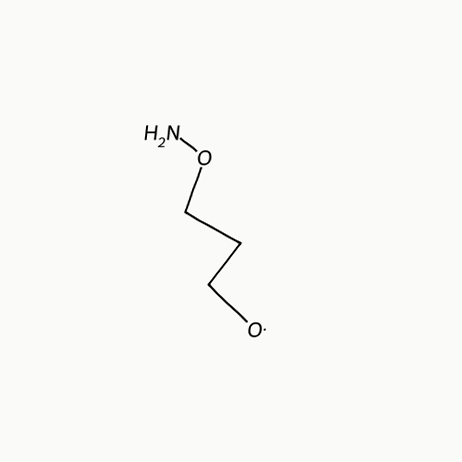 NOCCC[O]